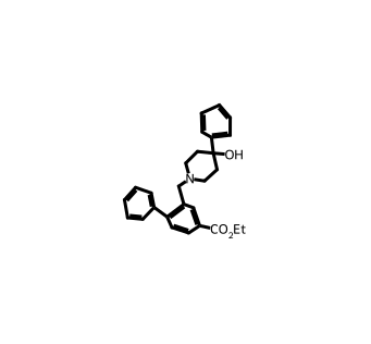 CCOC(=O)c1ccc(-c2ccccc2)c(CN2CCC(O)(c3ccccc3)CC2)c1